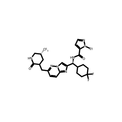 CCn1nccc1C(=O)N[C@H](c1cn2nc(CC3C[C@@H](C(F)(F)F)CNC3=O)ccc2n1)C1CCC(F)(F)CC1